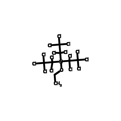 CCO[Si](C(Cl)(Cl)C(Cl)(Cl)Cl)(C(Cl)(Cl)C(Cl)(Cl)Cl)C(Cl)(Cl)C(Cl)(Cl)Cl